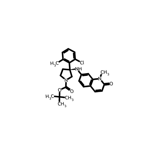 Cc1cccc(Cl)c1[C@@]1(Nc2ccc3ccc(=O)n(C)c3c2)CCN(C(=O)OC(C)(C)C)C1